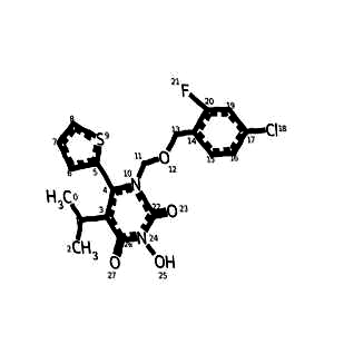 CC(C)c1c(-c2cccs2)n(COCc2ccc(Cl)cc2F)c(=O)n(O)c1=O